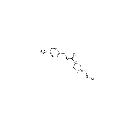 CC(=O)SC[C@H]1C[C@H](C(=O)OCc2ccc(C)cc2)CS1